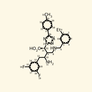 CCc1cccc(CNCC(C(N)Cc2cc(F)cc(F)c2)[C@@H](C(=O)O)n2nnc(-c3ccc(C)cc3)n2)c1